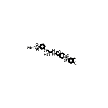 CNS(=O)(=O)c1cccc(OCC(O)CNC2COC3(CCN(S(=O)(=O)c4ccc(Cl)c(C)c4)CC3)C2)c1